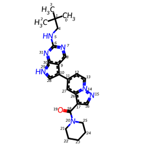 CC(C)(C)CNc1ncc2c(-c3ccn4ncc(C(=O)N5CCCCC5)c4c3)c[nH]c2n1